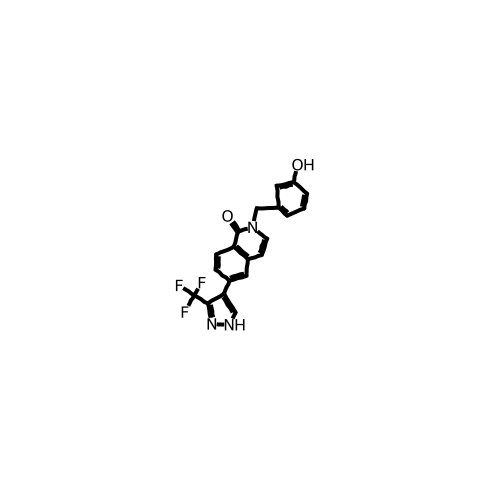 O=c1c2ccc(-c3c[nH]nc3C(F)(F)F)cc2ccn1Cc1cccc(O)c1